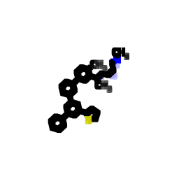 C/N=C/C=C\C=C(/C)c1cc(-c2cccc(-c3cc(-c4ccccc4)cc(-c4cccs4)c3)c2)ccc1C